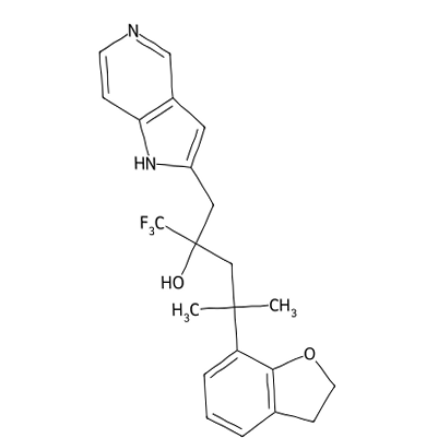 CC(C)(CC(O)(Cc1cc2cnccc2[nH]1)C(F)(F)F)c1cccc2c1OCC2